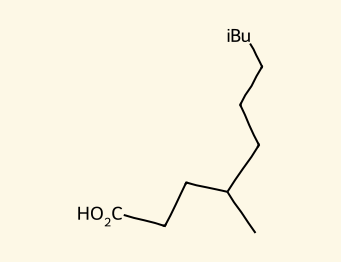 CCC(C)CCCC(C)CCC(=O)O